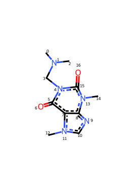 CN(C)Cn1c(=O)c2c(ncn2C)n(C)c1=O